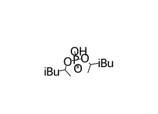 CCC(C)C(C)OP(=O)(O)OC(C)C(C)CC